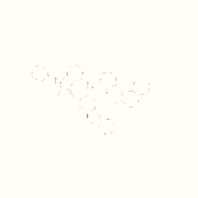 C1=c2c(n(-c3ccccc3)c3cccc(N(c4ccc5sc6ccccc6c5c4)c4cccc5c4ccc4ccc6ccccc6c45)c23)=CCC1